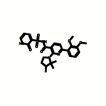 COc1cccc(-c2ccc(C(=O)NS(=O)(=O)c3ccc[nH]c3=O)c(N3CCC(C)C3(C)C)n2)c1OC